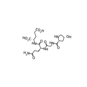 NC(=O)CC[C@H](NC(=O)CNC(=O)[C@@H]1C[C@@H](O)CN1)C(=O)N[C@@H](CCC(=O)O)C(=O)O